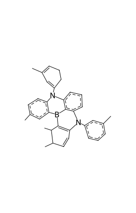 CC1=CCCC(N2c3ccc(C)cc3B3C4=C(C=CC(C)C4C)N(c4cccc(C)c4)c4cccc2c43)=C1